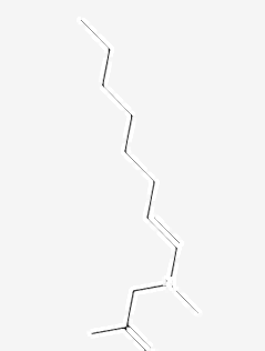 CCCCCCC=CN(C)CC(C)=O